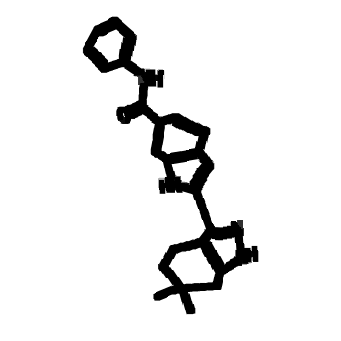 CC1(C)CCc2c(-c3cc4ccc(C(=O)Nc5ccccc5)cc4[nH]3)n[nH]c2C1